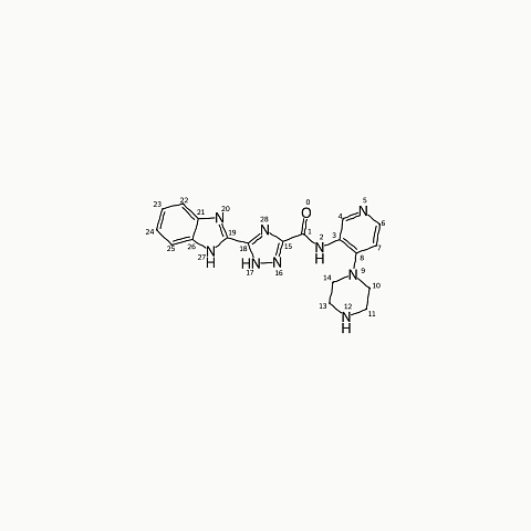 O=C(Nc1cnccc1N1CCNCC1)c1n[nH]c(-c2nc3ccccc3[nH]2)n1